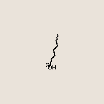 CCCCCC#CCC#CCC#CCC#CCCCCC(=O)O